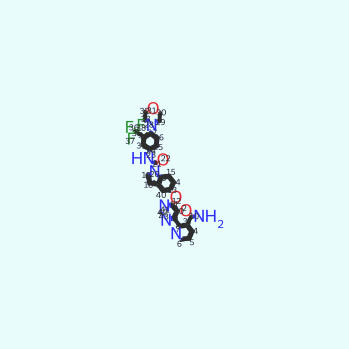 NC(=O)c1cccnc1-c1cc(Oc2ccc3c(ccn3C(=O)Nc3ccc(N4CCOCC4)c(C(F)(F)F)c3)c2)ncn1